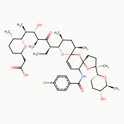 CC[C@@H](C(=O)[C@@H](C)[C@@H](O)[C@H](C)[C@@H]1O[C@@H](CC(=O)O)CC[C@@H]1C)[C@H]1O[C@]2(C=CC(NC(=O)c3ccc(Cl)cc3)[C@]3(CC[C@@](C)([C@H]4CC[C@@H](O)[C@H](C)O4)O3)O2)[C@H](C)C[C@@H]1C